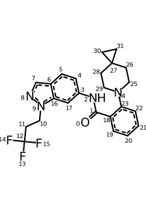 O=C(Nc1ccc2cnn(CCC(F)(F)F)c2c1)c1ccccc1N1CCC2(CC1)CC2